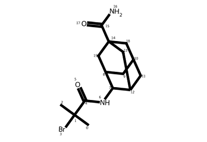 CC(C)(Br)C(=O)NC1C2CC3CC1CC(C(N)=O)(C3)C2